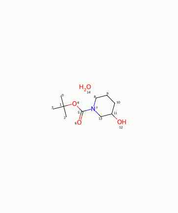 CC(C)(C)OC(=O)N1CCCC(O)C1.O